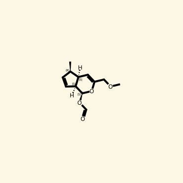 COCC1=C[C@H]2[C@H](C=C[C@H]2C)[C@H](OC=O)O1